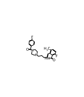 Cc1ccc(F)c2c(=O)[nH]c(CCCN3CCN(C(=O)c4ccc(F)cc4)CC3)cc12